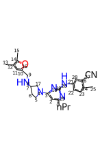 CCCc1cc(N2CCC(NCc3cc(C)c(C)o3)C2)nc(Nc2ccc(C)c(C#N)c2)n1